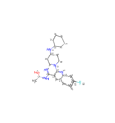 CC(O)NC(=N)c1cc2ccc(F)cc2nc1N1CCC(NC2CCCCC2)CC1